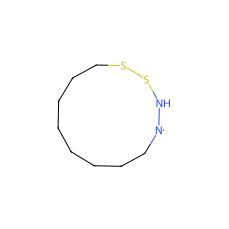 C1CCCCSSN[N]CCC1